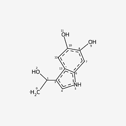 [CH2]C(O)c1c[nH]c2cc(O)c(O)cc12